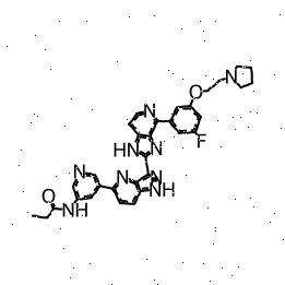 CCC(=O)Nc1cncc(-c2ccc3[nH]nc(-c4nc5c(-c6cc(F)cc(OCCN7CCCC7)c6)nccc5[nH]4)c3n2)c1